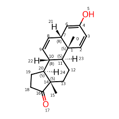 C[C@]12C=CC(O)=C[C@H]1C=C[C@@H]1[C@@H]2CC[C@]2(C)C(=O)CC[C@@H]12